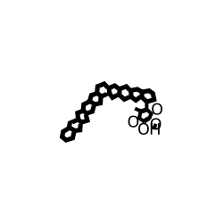 COC1=C(O)C(=O)C(C)=C(c2cccc3cc4cc5cc6ccc7cc8cc9cc%10cc%11ccccc%11cc%10cc9cc8cc7c6cc5cc4cc23)C1=O